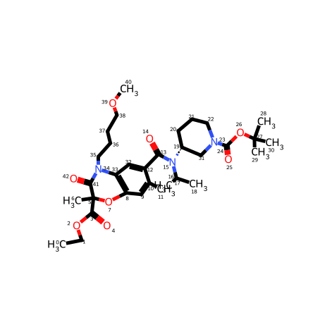 CCOC(=O)C1(C)Oc2cc(C)c(C(=O)N(C(C)C)[C@@H]3CCCN(C(=O)OC(C)(C)C)C3)cc2N(CCCCOC)C1=O